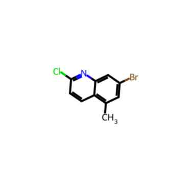 Cc1cc(Br)cc2nc(Cl)ccc12